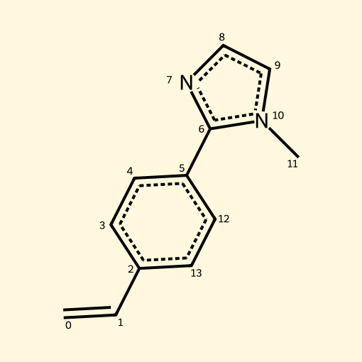 C=Cc1ccc(-c2nccn2C)cc1